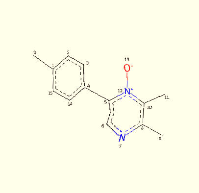 Cc1ccc(-c2cnc(C)c(C)[n+]2[O-])cc1